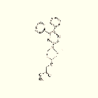 C[C@@H]1CC(OCC(=O)OC(C)(C)C)CCN1c1cnc(-c2ccccc2)c(-c2ccccc2)n1